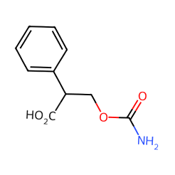 NC(=O)OCC(C(=O)O)c1ccccc1